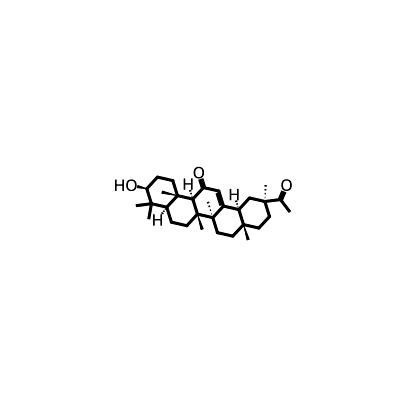 CC(=O)[C@@]1(C)CC[C@]2(C)CC[C@]3(C)C(=CC(=O)[C@@H]4[C@@]5(C)CC[C@H](O)C(C)(C)[C@@H]5CC[C@]43C)[C@H]2C1